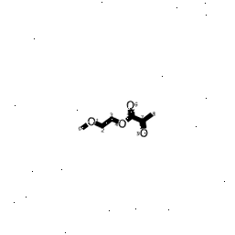 COCCOC(=O)C(C)=O